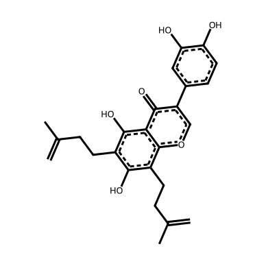 C=C(C)CCc1c(O)c(CCC(=C)C)c2occ(-c3ccc(O)c(O)c3)c(=O)c2c1O